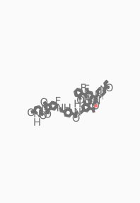 C=CC(=O)N1CCN(c2nc(=O)n(-c3c(C)cc(CNC(=O)C4CCC(CNc5cc6c(cc5F)C(=O)N(C5CCC(=O)NC5=O)C6=O)CC4)cc3C(C)C)c3nc(-c4c(O)cccc4F)c(F)cc23)[C@@H](C)C1